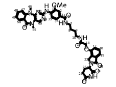 COc1cc(C(=O)NCCCCNC(=O)COc2cccc3c2CN(C2CCC(=O)NC2=O)C3=O)ccc1Nc1ncc2c(n1)N(C)c1ccccc1C(=O)N2C